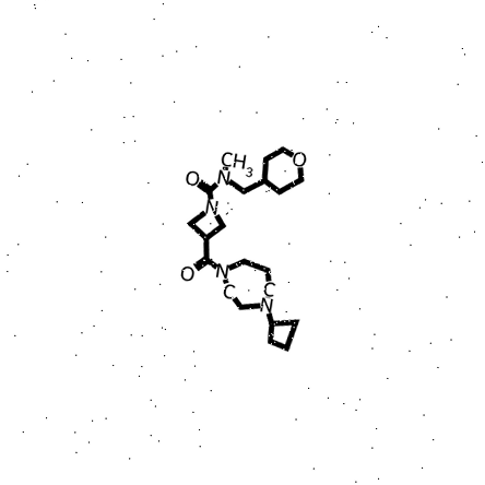 CN(CC1CCOCC1)C(=O)N1CC(C(=O)N2CCCN(C3CCC3)CC2)C1